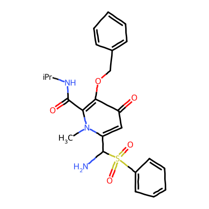 CC(C)NC(=O)c1c(OCc2ccccc2)c(=O)cc(C(N)S(=O)(=O)c2ccccc2)n1C